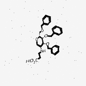 O=C(O)CCN[C@@H]1CO[C@H](COCc2ccccc2)[C@H](OCc2ccccc2)[C@@H]1OCc1ccccc1